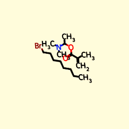 C=C(C)C(=O)OC(C)N(C)C.CCCCCCCCBr